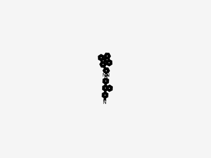 N#Cc1ccc(-c2ccc(-c3ccc(-n4nc5ccc(-c6ccc7c(c6)C6(c8ccccc8-c8ccccc86)c6ccccc6-7)cc5n4)cc3)c3ccccc23)cc1